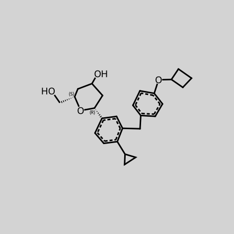 OC[C@@H]1CC(O)C[C@H](c2ccc(C3CC3)c(Cc3ccc(OC4CCC4)cc3)c2)O1